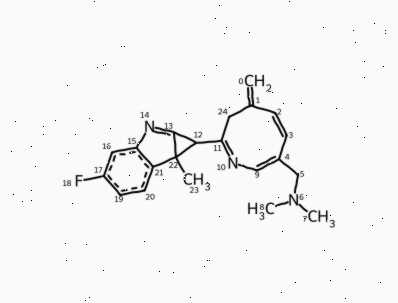 C=C1\C=C/C(CN(C)C)=C\N=C(\C2C3=Nc4cc(F)ccc4C32C)C1